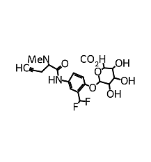 C#CCC(NC)C(=O)Nc1ccc(OC2OC(C(=O)O)C(O)C(O)C2O)c(C(F)F)c1